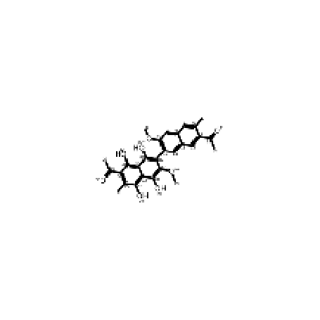 COc1cc2cc(C)c(C(C)=O)cc2cc1-c1c(OC)c(O)c2c(O)c(C)c(C(C)=O)c(O)c2c1O